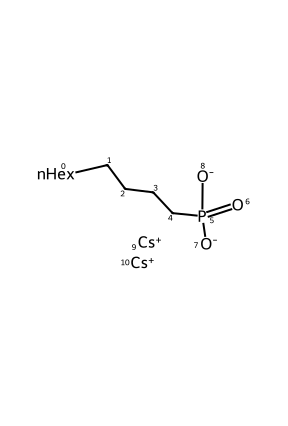 CCCCCCCCCCP(=O)([O-])[O-].[Cs+].[Cs+]